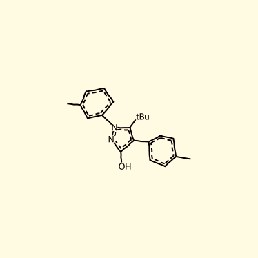 Cc1ccc(-c2c(O)nn(-c3cccc(C)c3)c2C(C)(C)C)cc1